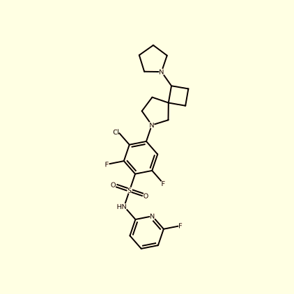 O=S(=O)(Nc1cccc(F)n1)c1c(F)cc(N2CCC3(CCC3N3CCCC3)C2)c(Cl)c1F